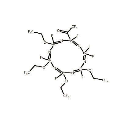 O=C(C(F)(F)F)P1(F)=NP(F)(F)=NP(F)(OCC(F)(F)F)=NP(F)(OCC(F)(F)F)=NP(F)(OCC(F)(F)F)=NP(F)(OCC(F)(F)F)=N1